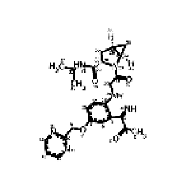 CC(=O)C(=N)c1cc(OCc2ncccn2)ccc1NCC(=O)N1[C@@H]2C[C@@H]2C[C@H]1C(=O)NC(C)C